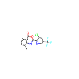 Cc1cccc2c(=O)oc(-c3ncc(C(F)(F)F)cc3Cl)nc12